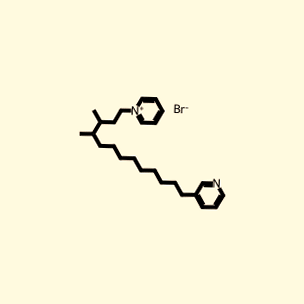 CC(CCCCCCCCCc1cccnc1)C(C)CC[n+]1ccccc1.[Br-]